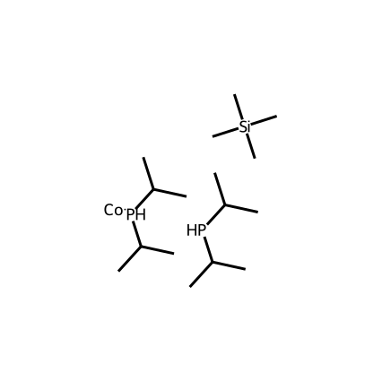 CC(C)PC(C)C.CC(C)PC(C)C.C[Si](C)(C)C.[Co]